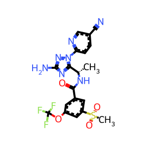 C[C@H](NC(=O)c1cc(OC(F)(F)F)cc(S(C)(=O)=O)c1)c1nc(N)nn1-c1ccc(C#N)cn1